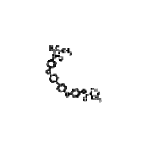 C=C(C)C(=O)Oc1ccc(Oc2ccc(-c3ccc(Oc4ccc(OC(=O)C(=C)C)cc4)cc3)cc2)cc1